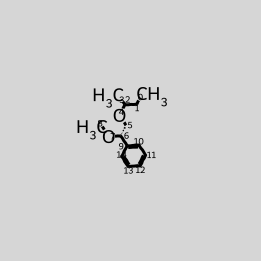 CCC(C)OC[C@@H](OC)c1ccccc1